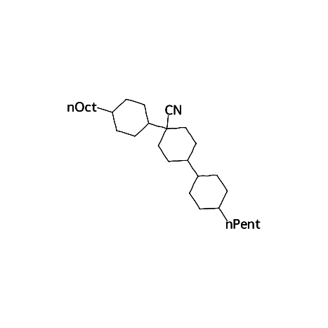 CCCCCCCCC1CCC(C2(C#N)CCC(C3CCC(CCCCC)CC3)CC2)CC1